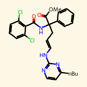 CCCCc1ccnc(NC=CCC(NC(=O)c2c(Cl)cccc2Cl)(C(=O)OC)c2ccccc2)n1